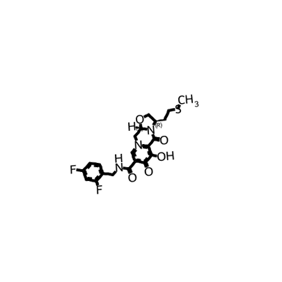 CSCC[C@@H]1CO[C@H]2Cn3cc(C(=O)NCc4ccc(F)cc4F)c(=O)c(O)c3C(=O)N12